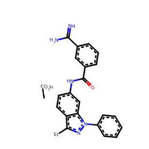 CC(=O)O.CCc1nn(-c2ccccc2)c2cc(NC(=O)c3cccc(C(=N)N)c3)ccc12